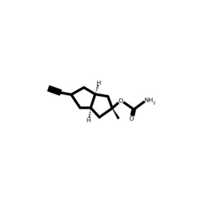 C#CC1C[C@@H]2C[C@@](C)(OC(N)=O)C[C@@H]2C1